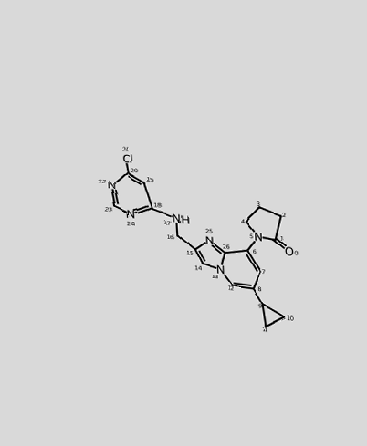 O=C1CCCN1c1cc(C2CC2)cn2cc(CNc3cc(Cl)ncn3)nc12